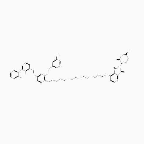 N#Cc1cncc(COc2cc(OCc3cccc(-c4ccccc4F)c3Cl)ccc2CNCCCOCCOCCOCCCNc2cccc3c2C(=O)N(C2CCC(=O)NC2=O)C3=O)c1